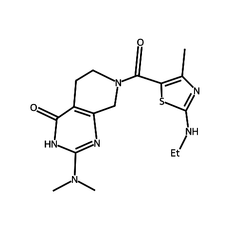 CCNc1nc(C)c(C(=O)N2CCc3c(nc(N(C)C)[nH]c3=O)C2)s1